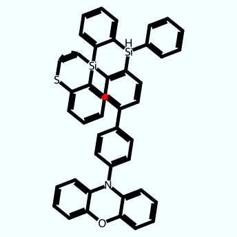 c1ccc([SiH]2c3ccccc3[Si]3(c4ccccc4Sc4ccccc43)c3cc(-c4ccc(N5c6ccccc6Oc6ccccc65)cc4)ccc32)cc1